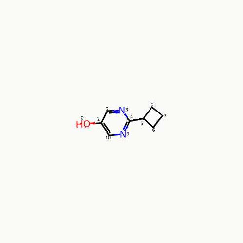 Oc1cnc(C2CCC2)nc1